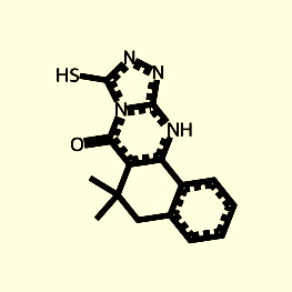 CC1(C)Cc2ccccc2-c2[nH]c3nnc(S)n3c(=O)c21